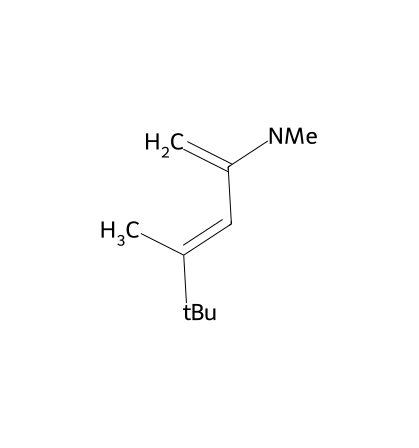 C=C(/C=C(\C)C(C)(C)C)NC